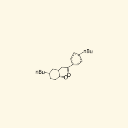 CCCCc1ccc(C(=O)CC2CC(CCCC)CCC2=O)cc1